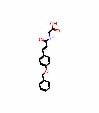 O=C(O)CNC(=O)/C=C/c1ccc(OCc2ccccc2)cc1